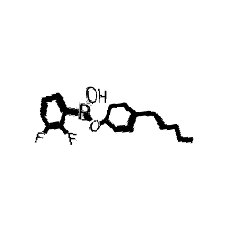 CCCCCC1CCC(OB(O)c2cccc(F)c2F)CC1